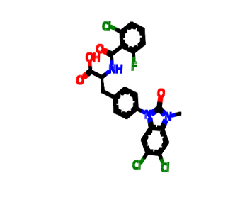 Cn1c(=O)n(-c2ccc(C[C@H](NC(=O)c3c(F)cccc3Cl)C(=O)O)cc2)c2cc(Cl)c(Cl)cc21